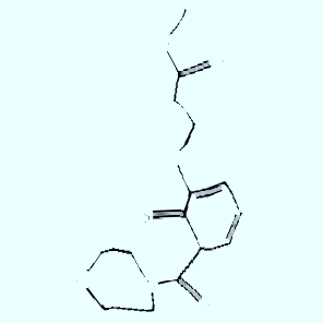 COC(=O)CCOC1=CC=CC(C(=O)N2CCOCC2)C1=S